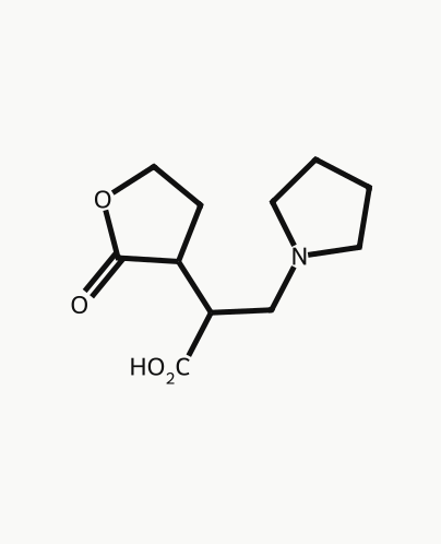 O=C(O)C(CN1CCCC1)C1CCOC1=O